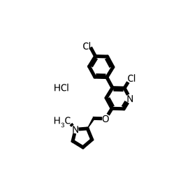 CN1CCC[C@@H]1COc1cnc(Cl)c(-c2ccc(Cl)cc2)c1.Cl